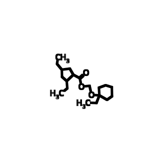 CCC1CC(CC)C(C(=O)OCOC2(CC)CCCCC2)C1